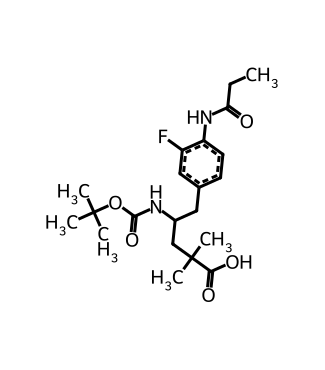 CCC(=O)Nc1ccc(CC(CC(C)(C)C(=O)O)NC(=O)OC(C)(C)C)cc1F